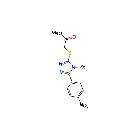 CCn1c(SCC(=O)OC)nnc1-c1ccc([N+](=O)[O-])cc1